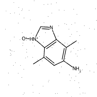 Cc1cc(N)c(C)c2c1[NH+]([O-])C=N2